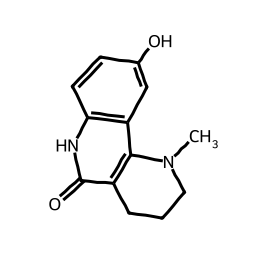 CN1CCCc2c1c1cc(O)ccc1[nH]c2=O